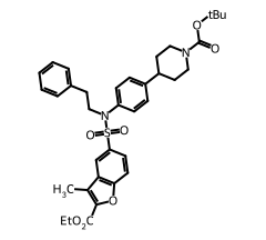 CCOC(=O)c1oc2ccc(S(=O)(=O)N(CCc3ccccc3)c3ccc(C4CCN(C(=O)OC(C)(C)C)CC4)cc3)cc2c1C